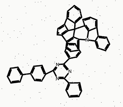 c1ccc(-c2ccc(-c3nc(-c4ccccc4)nc(-c4cccc(-c5cccc6c5C5(c7ccccc7-6)c6ccccc6-n6c7ccccc7c7cccc5c76)c4)n3)cc2)cc1